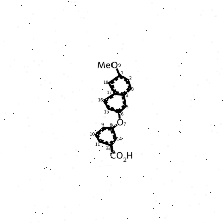 COc1ccc2cc(Oc3cccc(C(=O)O)c3)ccc2c1